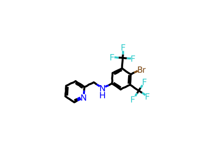 FC(F)(F)c1cc(NCc2ccccn2)cc(C(F)(F)F)c1Br